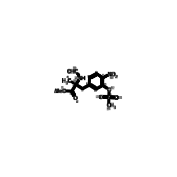 COC(=O)[C@@](C)(Cc1ccc([N+](=O)[O-])c(OS(C)(=O)=O)c1)NC=O